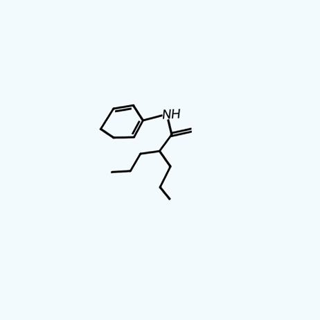 C=C(NC1=CCCC=C1)C(CCC)CCC